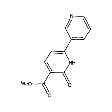 COC(=O)c1ccc(-c2cccnc2)[nH]c1=O